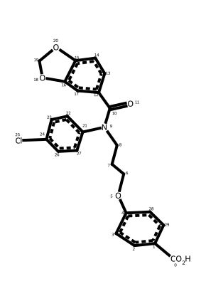 O=C(O)c1ccc(OCCCN(C(=O)c2ccc3c(c2)OCO3)c2ccc(Cl)cc2)cc1